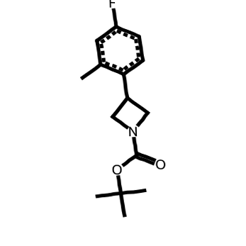 Cc1cc(F)ccc1C1CN(C(=O)OC(C)(C)C)C1